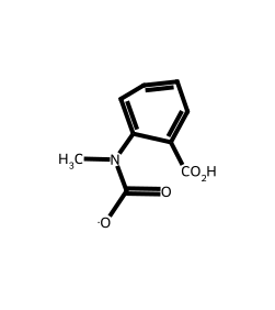 CN(C([O])=O)c1ccccc1C(=O)O